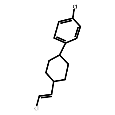 Cl/C=C/C1CCC(c2ccc(Cl)cc2)CC1